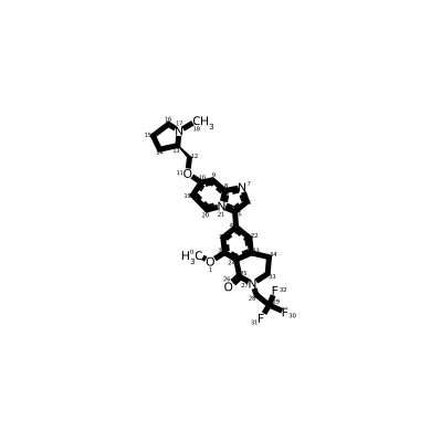 COc1cc(-c2cnc3cc(OC[C@H]4CCCN4C)ccn23)cc2c1C(=O)N(CC(F)(F)F)CC2